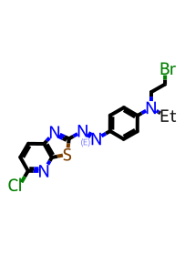 CCN(CCBr)c1ccc(/N=N/c2nc3ccc(Cl)nc3s2)cc1